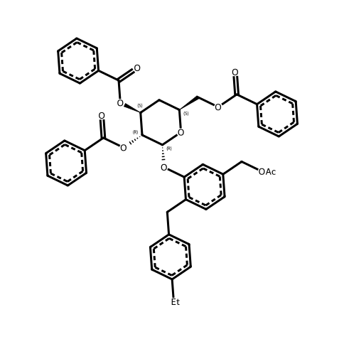 CCc1ccc(Cc2ccc(COC(C)=O)cc2O[C@H]2O[C@H](COC(=O)c3ccccc3)C[C@H](OC(=O)c3ccccc3)[C@H]2OC(=O)c2ccccc2)cc1